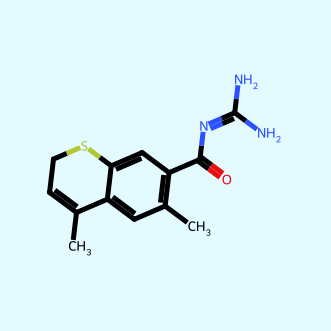 CC1=CCSc2cc(C(=O)N=C(N)N)c(C)cc21